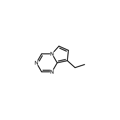 CCc1ccn2cncnc12